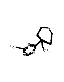 Cc1nnc(C2(C)CCNCC2)o1